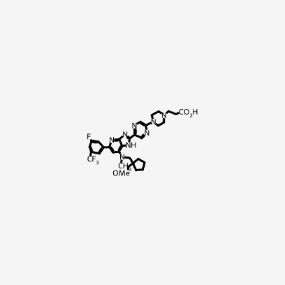 COCC1(CN(C)c2cc(-c3cc(F)cc(C(F)(F)F)c3)nc3nc(-c4cnc(N5CCN(CCC(=O)O)CC5)cn4)[nH]c23)CCCC1